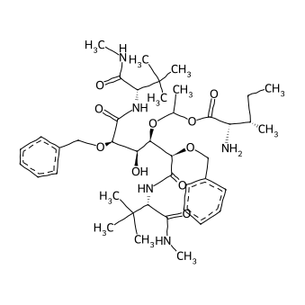 CC[C@H](C)[C@H](N)C(=O)OC(C)O[C@H]([C@@H](O)[C@@H](OCc1ccccc1)C(=O)N[C@H](C(=O)NC)C(C)(C)C)[C@@H](OCc1ccccc1)C(=O)N[C@H](C(=O)NC)C(C)(C)C